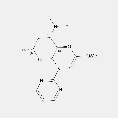 COC(=O)O[C@H]1C(Sc2ncccn2)O[C@H](C)C[C@@H]1N(C)C